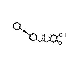 O=c1cc(CNCc2ccc(C#Cc3ccccc3)cc2)occ1O